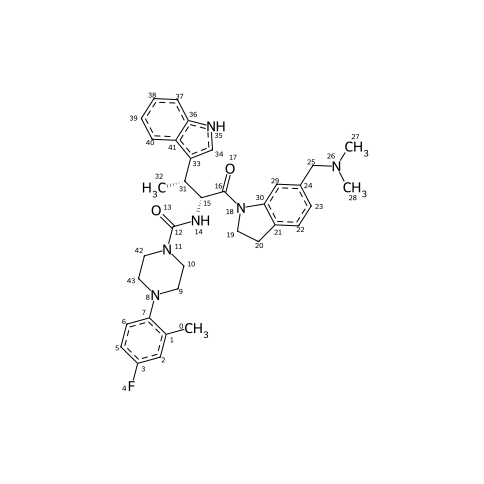 Cc1cc(F)ccc1N1CCN(C(=O)N[C@@H](C(=O)N2CCc3ccc(CN(C)C)cc32)[C@H](C)c2c[nH]c3ccccc23)CC1